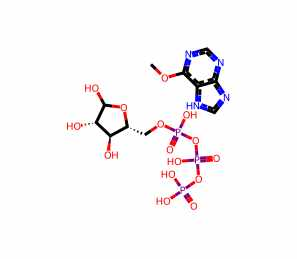 COc1ncnc2nc[nH]c12.O=P(O)(O)OP(=O)(O)OP(=O)(O)OC[C@H]1OC(O)[C@@H](O)[C@@H]1O